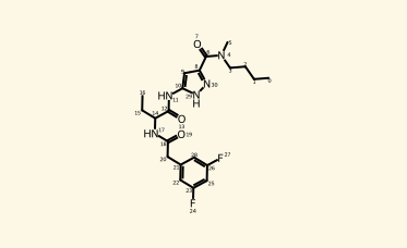 CCCCN(C)C(=O)c1cc(NC(=O)C(CC)NC(=O)Cc2cc(F)cc(F)c2)[nH]n1